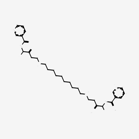 CC(NC(=O)c1cccnc1)C(=O)CCSCCCCCCCCCCSCCC(=O)C(C)NC(=O)c1cccnc1